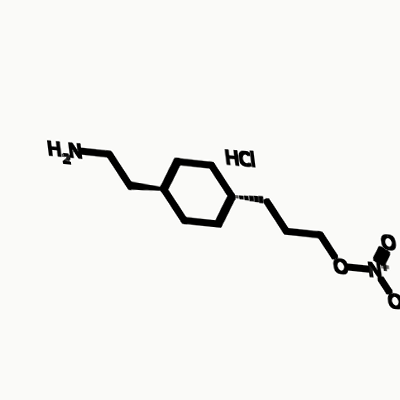 Cl.NCC[C@H]1CC[C@H](CCCO[N+](=O)[O-])CC1